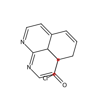 O=C(Cl)C1CC=CC2=CC=NC3=NC=CCC231